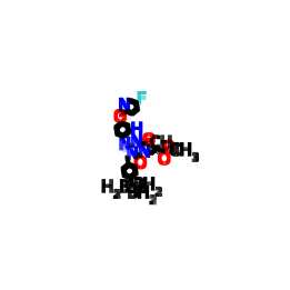 BC(B)(B)c1ccc(Cn2c(=O)n(C[C@H](C)C(=O)OC)c(=O)[nH]/c2=N\c2ccc(Oc3ccc(F)cn3)cc2)cc1